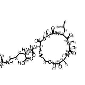 CC(C)C[C@@H]1NC(=O)[C@H](C)NC(=O)[C@H](NC(=O)NC(CCCNC(=N)N)C(=O)O)CCCCNC(=O)[C@H](C)NC(=O)[C@H](C)N(C)C1=O